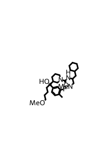 CNCC(CC1CCCCC1)NC(=O)N1CCCC([C@@](O)(CCCCOC)c2ccc(C)c(F)c2)C1